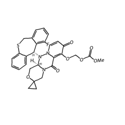 COC(=O)OCOc1c2n(ccc1=O)N([C@@H]1c3ccccc3SCc3cccc(F)c31)[C@@H]1COC3(CC3)CN1C2=O